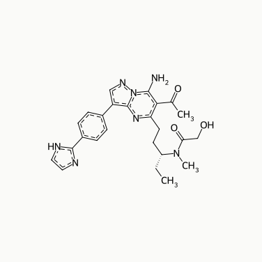 CC[C@H](CCc1nc2c(-c3ccc(-c4ncc[nH]4)cc3)cnn2c(N)c1C(C)=O)N(C)C(=O)CO